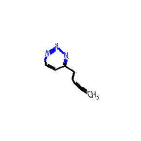 C=C[CH]c1ccnnn1